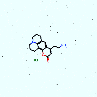 Cl.NCCc1cc(=O)oc2c3c4c(cc12)CCCN4CCC3